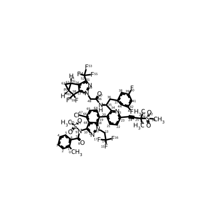 Cc1ccccc1C(=O)N(c1nn(CC(F)(F)F)c2c(-c3ccc(C#CC(C)(C)S(C)(=O)=O)nc3C(Cc3cc(F)cc(F)c3)NC(=O)Cn3nc(C(F)(F)F)c4c3C(F)(F)[C@@H]3C[C@H]43)ccc(Cl)c12)S(C)(=O)=O